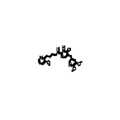 COc1cccnc1CCCCNc1ncc(Cc2cnc(OC)c(OC)c2)c(=O)[nH]1